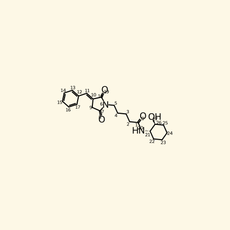 O=C(CCCCN1C(=O)C/C(=C\c2ccccc2)C1=O)N[C@H]1CCCC[C@@H]1O